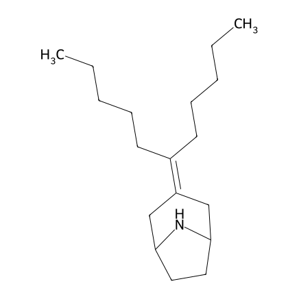 CCCCCC(CCCCC)=C1CC2CCC(C1)N2